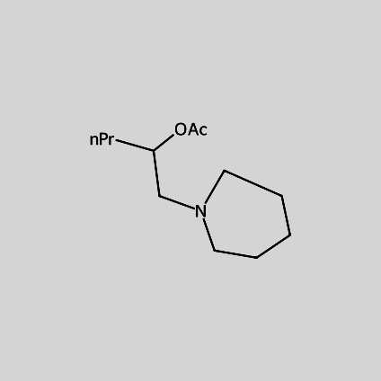 CCCC(CN1CCCCC1)OC(C)=O